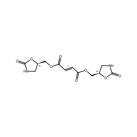 O=C(/C=C/C(=O)OC[C@H]1CNC(=O)O1)OC[C@H]1CNC(=O)O1